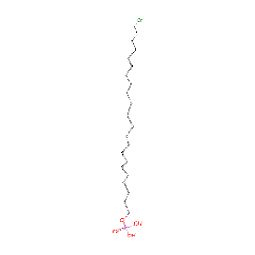 O=P(O)(O)OCCCCCCCCCCCCCCCCCCCCCCBr